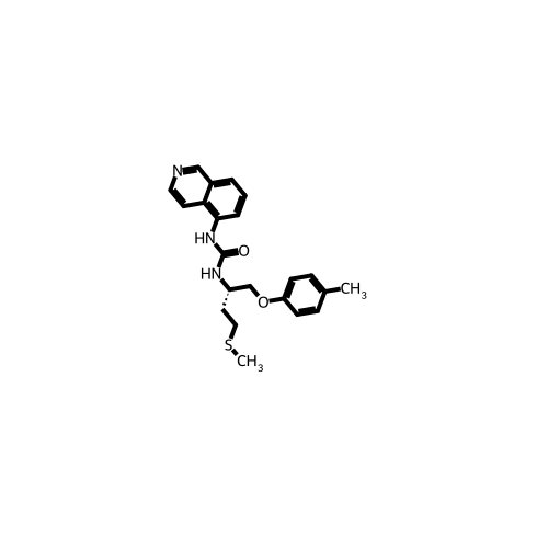 CSCC[C@@H](COc1ccc(C)cc1)NC(=O)Nc1cccc2cnccc12